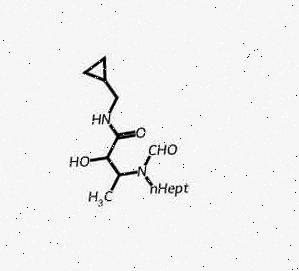 CCCCCCCN(C=O)C(C)C(O)C(=O)NCC1CC1